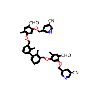 Cc1cc(C=O)c(OCc2cncc(C#N)c2)cc1OCc1cccc(-c2cccc(COc3cc(OCc4cncc(C#N)c4)c(C=O)cc3C)c2C)c1C